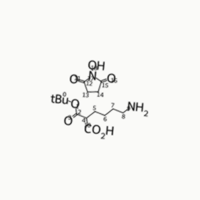 CC(C)(C)OC(=O)C(CCCCN)C(=O)O.O=C1CCC(=O)N1O